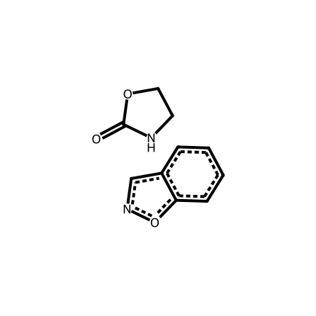 O=C1NCCO1.c1ccc2oncc2c1